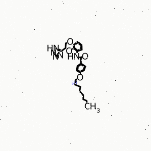 CCCCCC/C=C\Oc1ccc(C(=O)Nc2cccc3c2OC(c2nnn[nH]2)CO3)cc1